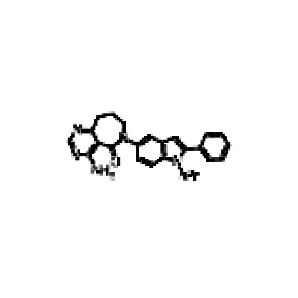 CCCn1c(-c2ccccc2)cc2cc(N3CCCc4ncnc(N)c4C3=O)ccc21